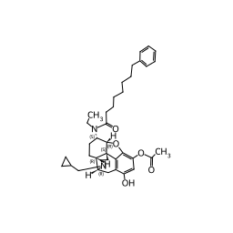 CCN(C(=O)CCCCCCCc1ccccc1)[C@H]1CC[C@H]2[C@H]3Cc4c(O)cc(OC(C)=O)c5c4[C@@]2(CCN3CC2CC2)[C@H]1O5